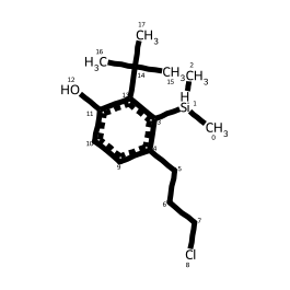 C[SiH](C)c1c(CCCCl)ccc(O)c1C(C)(C)C